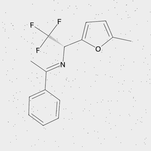 C/C(=N\[C@@H](c1ccc(C)o1)C(F)(F)F)c1ccccc1